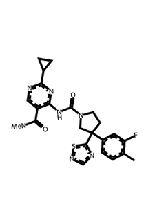 CNC(=O)c1cnc(C2CC2)nc1NC(=O)N1CCC(c2ccc(C)c(F)c2)(c2ncns2)C1